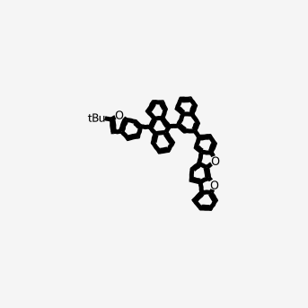 CC(C)(C)c1cc2ccc(-c3c4ccccc4c(-c4cc(-c5ccc6oc7c(ccc8c9ccccc9oc87)c6c5)cc5ccccc45)c4ccccc34)cc2o1